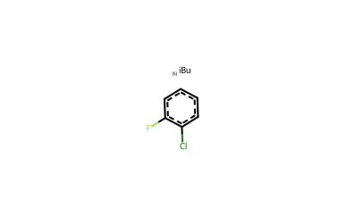 CC[C@H](C)c1ccc(Cl)c(F)c1